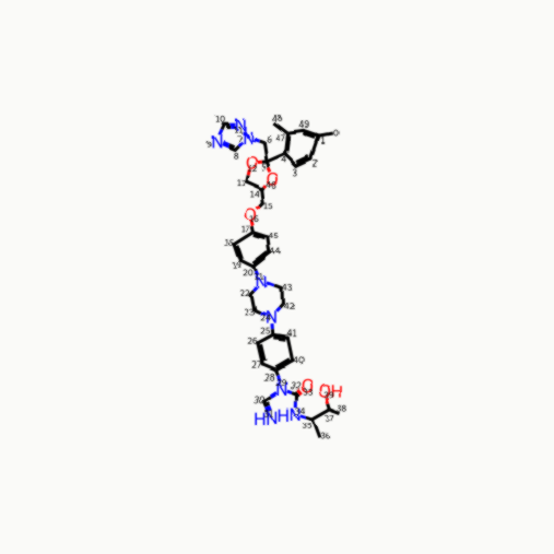 Cc1ccc(C2(Cn3cncn3)OCC(COc3ccc(N4CCN(c5ccc(N(C=N)C(=O)NC(C)C(C)O)cc5)CC4)cc3)O2)c(C)c1